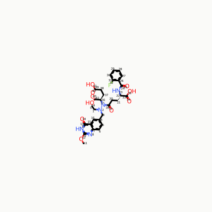 CCN(Cc1ccc2nc(OC)[nH]c(=O)c2c1)N(C(=O)CC[C@H](NC(=O)c1ccccc1F)C(=O)O)[C@H](CCC(=O)O)C(=O)O